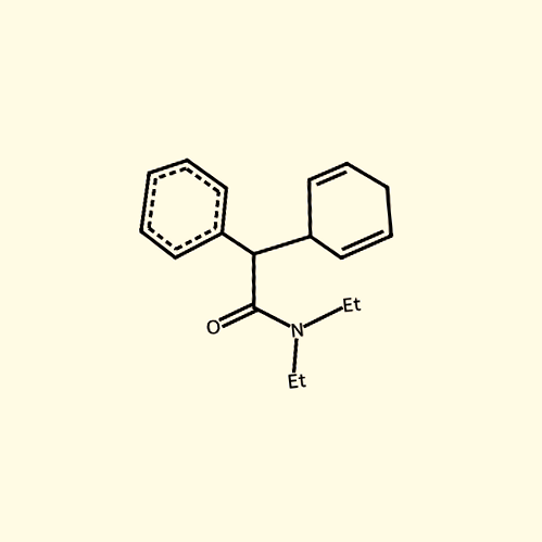 CCN(CC)C(=O)C(c1ccccc1)C1C=CCC=C1